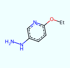 CCOc1ccc(NN)cn1